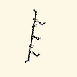 CC/C=C\CCCCOC(CCCC(=O)OCCCCCCN(CCCO)CCCCCCOC(=O)CCCC(OCCCC/C=C\CC)OCCCC/C=C\CC)OCCCC/C=C\CC